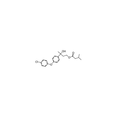 CC(C)CC(=O)OCCC(C)(O)c1ccc(Oc2ccc(Cl)cc2)cc1